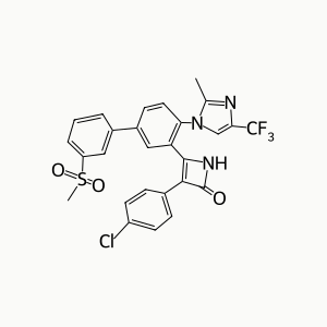 Cc1nc(C(F)(F)F)cn1-c1ccc(-c2cccc(S(C)(=O)=O)c2)cc1C1=C(c2ccc(Cl)cc2)C(=O)N1